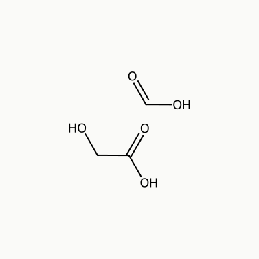 O=C(O)CO.O=CO